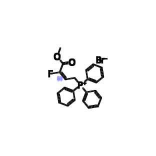 COC(=O)/C(F)=C\C[P+](c1ccccc1)(c1ccccc1)c1ccccc1.[Br-]